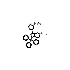 CNc1cc(-c2nn(C(c3ccccc3)(c3ccccc3)c3ccccc3)c3ccc(N)cc23)ccn1